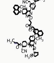 C=CC(=O)N1CCN(c2nc(OCCC(=O)N(C)Cc3cc(N4CCc5c(nc(OC[C@@H]6CCCN6C)nc5N5CCN(C(=O)/C=C/C)[C@@H](CC#N)C5)C4)c4c(C)cccc4c3)nc3c2CCN(c2cccc4cccc(C)c24)C3)C[C@@H]1CC#N